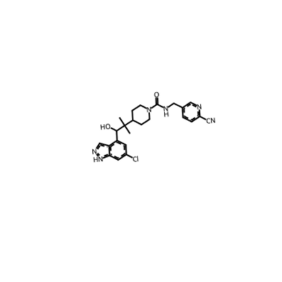 CC(C)(C1CCN(C(=O)NCc2ccc(C#N)nc2)CC1)C(O)c1cc(Cl)cc2[nH]ncc12